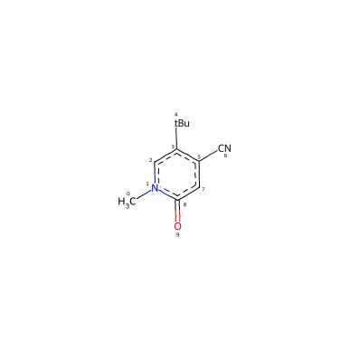 Cn1cc(C(C)(C)C)c(C#N)cc1=O